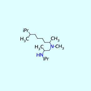 CC(C)NC(C)CN(C)C(C)CCCCC(C)C(C)C